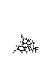 CCC(c1ccc(F)cc1)[C]([Sn])(c1ccc(F)cc1)c1ccc(F)cc1